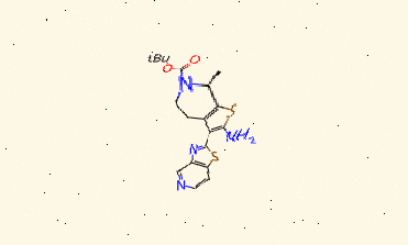 C[C@H]1c2sc(N)c(-c3nc4cnccc4s3)c2CCN1C(=O)OC(C)(C)C